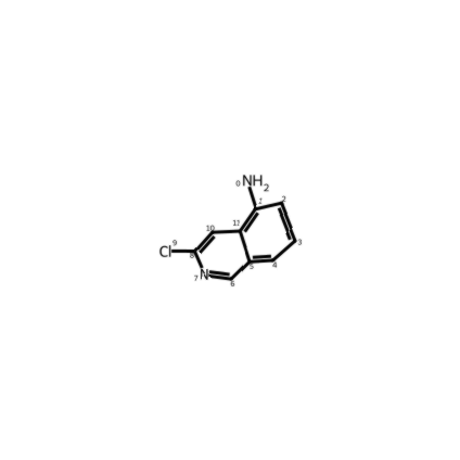 Nc1cccc2cnc(Cl)cc12